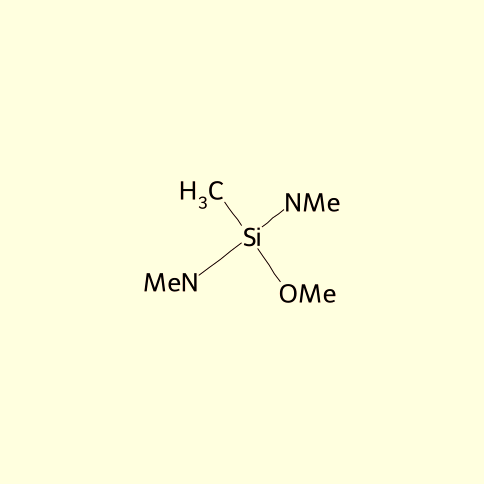 CN[Si](C)(NC)OC